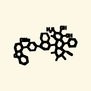 Bc1c(O)c(O)c2c(-c3ccccc3)c3c(C=C)c(C)c(C)c(C)c3c(-c3ccc(C4=CC=C(c5c(OC)ccc6oc7ccccc7c56)CC4)c4c3CCC=C4)c2c1C